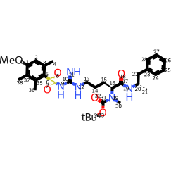 COc1cc(C)c(S(=O)(=O)NC(=N)NCCC[C@@H](C(=O)N[C@@H](C)Cc2ccccc2)N(C)C(=O)OC(C)(C)C)c(C)c1C